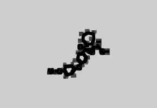 COc1ccc(Oc2ccc(S(=O)(=O)N3CCCCC[C@@H]3C(=O)NO)cc2)cc1